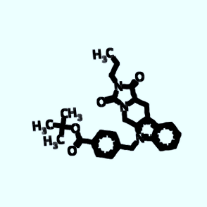 CCCN1C(=O)C2Cc3c(n(Cc4ccc(C(=O)OC(C)(C)C)cc4)c4ccccc34)CN2C1=O